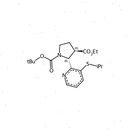 CCOC(=O)[C@@H]1CCN(C(=O)OC(C)(C)C)[C@H]1c1ncccc1SC(C)C